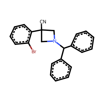 N#CC1(c2ccccc2Br)CN(C(c2ccccc2)c2ccccc2)C1